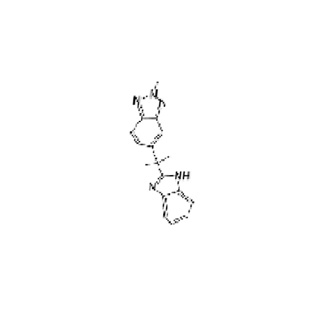 Cn1nc2ccc(C(C)(C)c3nc4ccccc4[nH]3)cc2n1